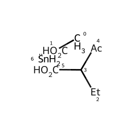 CC(=O)O.CCC(C(C)=O)C(=O)O.[SnH2]